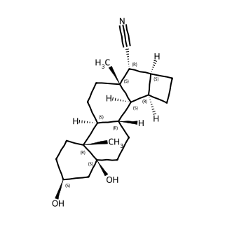 C[C@]12CC[C@H]3[C@@H](CC[C@]4(O)C[C@@H](O)CC[C@]34C)[C@@H]1[C@@H]1CC[C@@H]1[C@H]2C#N